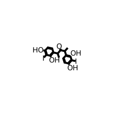 CC(C(=O)C(C)c1ccc(O)c(I)c1O)c1ccc(O)c(I)c1O